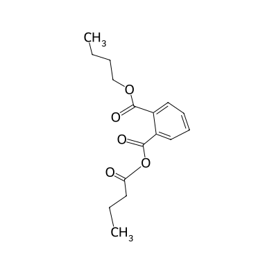 CCCCOC(=O)c1ccccc1C(=O)OC(=O)CCC